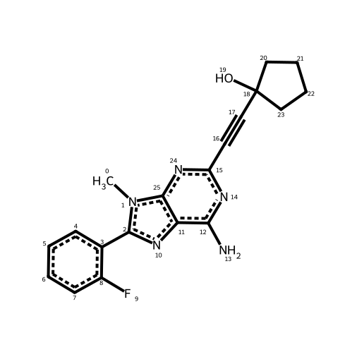 Cn1c(-c2ccccc2F)nc2c(N)nc(C#CC3(O)CCCC3)nc21